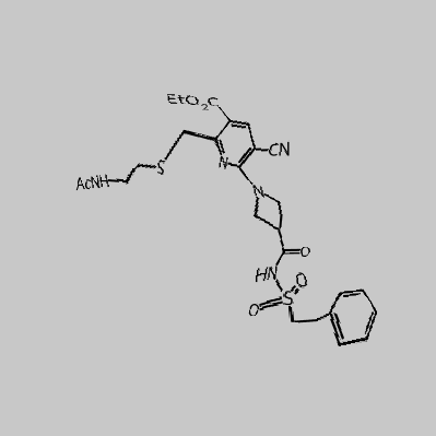 CCOC(=O)c1cc(C#N)c(N2CC(C(=O)NS(=O)(=O)Cc3ccccc3)C2)nc1CSCCNC(C)=O